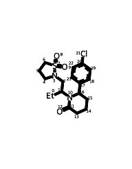 CCC(CN1CCCS1(=O)=O)N1C(=O)CCCC1c1ccc(Cl)cc1